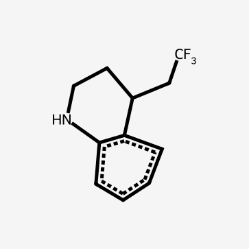 FC(F)(F)CC1CCNc2ccccc21